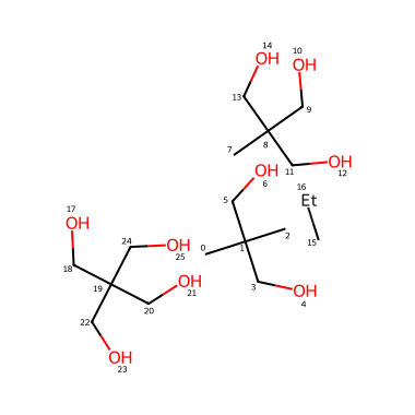 CC(C)(CO)CO.CC(CO)(CO)CO.CCC.OCC(CO)(CO)CO